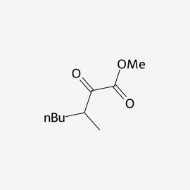 CCCCC(C)C(=O)C(=O)OC